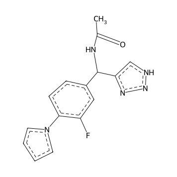 CC(=O)NC(c1ccc(-n2cccc2)c(F)c1)c1c[nH]nn1